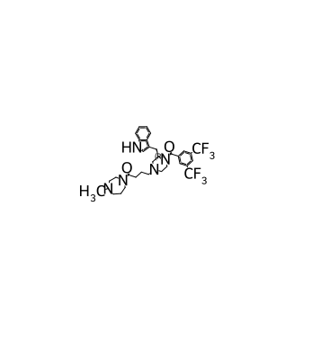 CN1CCCN(C(=O)CCCN2CCN(C(=O)c3cc(C(F)(F)F)cc(C(F)(F)F)c3)[C@H](Cc3c[nH]c4ccccc34)C2)CC1